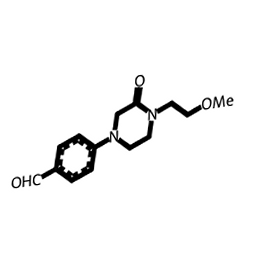 COCCN1CCN(c2ccc(C=O)cc2)CC1=O